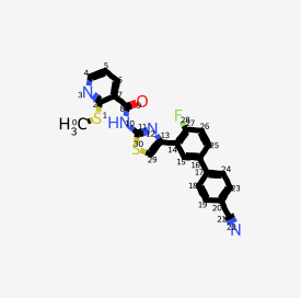 CSc1ncccc1C(=O)Nc1nc(-c2cc(-c3ccc(C#N)cc3)ccc2F)cs1